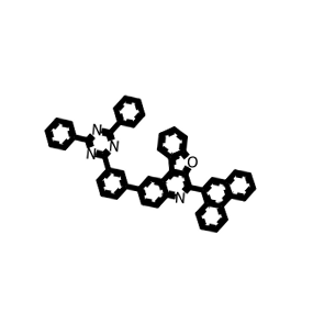 c1ccc(-c2nc(-c3ccccc3)nc(-c3cccc(-c4ccc5nc(-c6cc7ccccc7c7ccccc67)c6oc7ccccc7c6c5c4)c3)n2)cc1